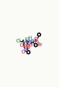 C=C(CCl)C(C(=O)OCN1C(=O)c2ccccc2C1=O)N1C(=O)C(NC(=O)C(NC(=O)OCc2ccccc2)c2cccc(Br)c2)C1Cl